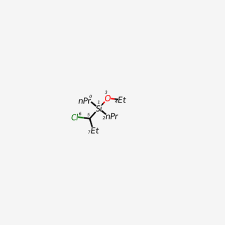 CCC[Si](CCC)(OCC)C(Cl)CC